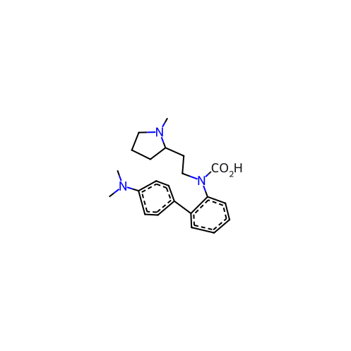 CN(C)c1ccc(-c2ccccc2N(CCC2CCCN2C)C(=O)O)cc1